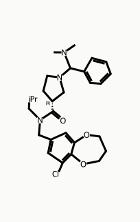 CC(C)CN(Cc1cc(Cl)c2c(c1)OCCCO2)C(=O)[C@@H]1CCN(C(c2ccccc2)N(C)C)C1